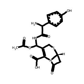 CC(=O)OC(NC(=O)C(N)c1ccc(O)cc1)C1=C(C(=O)O)N2C(=O)C[C@H]2SC1